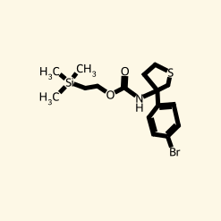 C[Si](C)(C)CCOC(=O)NC1(c2ccc(Br)cc2)CCSC1